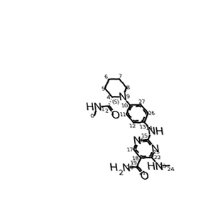 CNC(=O)[C@@H]1CCCCN1c1ccc(Nc2ncc(C(N)=O)c(NC)n2)cc1